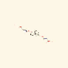 O=C(O)/C=C/C(=O)O[C@H]1CC[C@H]2[C@@H]1CC[C@@H]2OC(=O)/C=C/C(=O)O